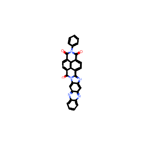 O=C1c2ccc3c(=O)n4c5cc6nc7ccccc7nc6cc5nc4c4ccc(c2c34)C(=O)N1c1ccccc1